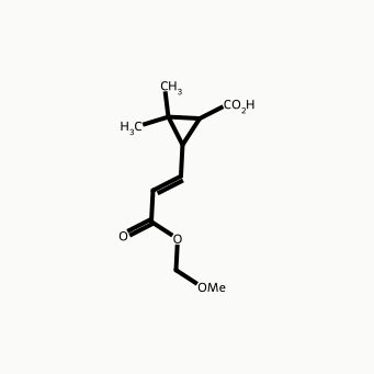 COCOC(=O)C=CC1C(C(=O)O)C1(C)C